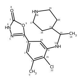 Cc1cc(-c2n[nH]c(=O)o2)cc(NC(C)C2CCNCC2)c1Cl